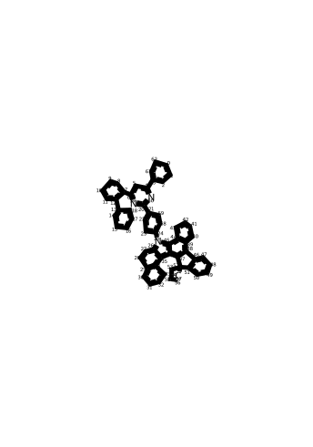 c1ccc(-c2cc(-c3ccccc3-c3ccccc3)nc(-c3ccc(-n4c5ccc6ccccc6c5c5c6c(c7ccccc7c54)-c4ccccc4C64CCCCC4)cc3)n2)cc1